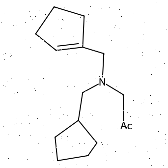 CC(=O)CN(CC1=CCCC1)CC1CCCC1